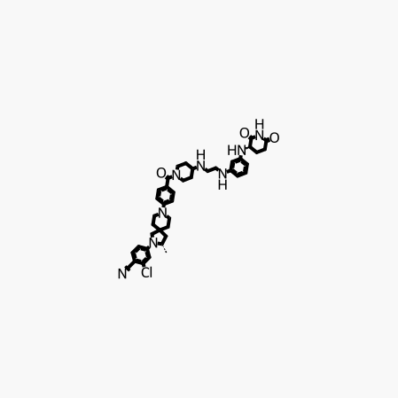 C[C@H]1CC2(CCN(c3ccc(C(=O)N4CCC(NCCNc5cccc(N[C@@H]6CCC(=O)NC6=O)c5)CC4)cc3)CC2)CN1c1ccc(C#N)c(Cl)c1